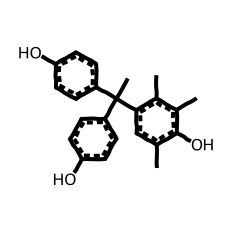 Cc1cc(C(C)(c2ccc(O)cc2)c2ccc(O)cc2)c(C)c(C)c1O